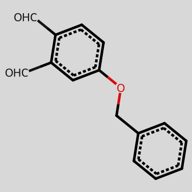 O=Cc1ccc(OCc2ccccc2)cc1C=O